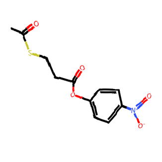 CC(=O)SCCC(=O)Oc1ccc([N+](=O)[O-])cc1